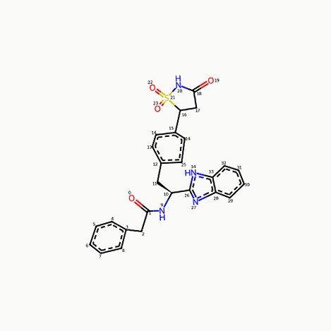 O=C(Cc1ccccc1)N[C@@H](Cc1ccc(C2CC(=O)NS2(=O)=O)cc1)c1nc2ccccc2[nH]1